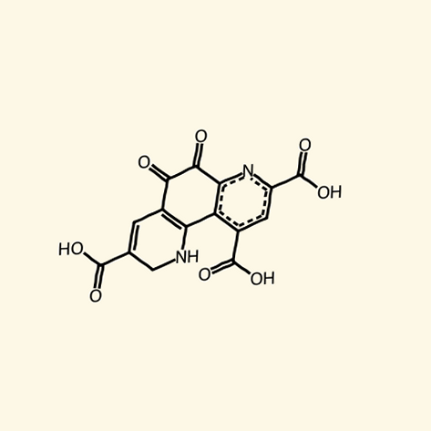 O=C(O)C1=CC2=C(NC1)c1c(C(=O)O)cc(C(=O)O)nc1C(=O)C2=O